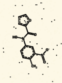 Cc1ccc(N(O)C(=O)c2ccco2)cc1[N+](=O)[O-]